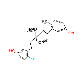 COC(CCc1cc(O)ccc1C)(CCc1cc(O)ccc1F)OC